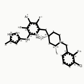 CC(=O)c1c(F)c(C[C@@]2(C(=O)O)CCN(Cc3cccc(Cl)c3F)[C@H](C)C2)nc(Nc2cc(C)[nH]n2)c1F